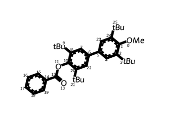 COc1c(C(C)(C)C)cc(-c2cc(C(C)(C)C)c(OC(=O)c3ccccc3)c(C(C)(C)C)c2)cc1C(C)(C)C